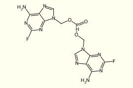 Nc1nc(F)nc2c1ncn2CO[PH](=O)OCn1cnc2c(N)nc(F)nc21